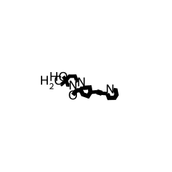 C=CC1(O)CCc2nc3cc(C#Cc4ccccn4)ccc3c(=O)n2C1